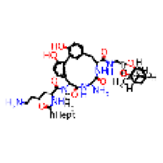 CCCCCCCC(=O)N[C@@H](CCCCN)C(=O)N(C)[C@@H]1C(=O)N[C@@H](N)C(=O)N[C@H](C(=O)NCB2O[C@@H]3C[C@@H]4C[C@@H](C4(C)C)[C@]3(C)O2)Cc2ccc(O)c(c2)-c2cc1ccc2O